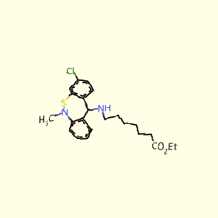 CCOC(=O)CCCCCCNC1c2ccc(Cl)cc2SN(C)c2ccccc21